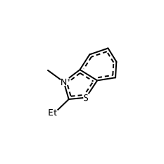 CCc1sc2ccccc2[n+]1C